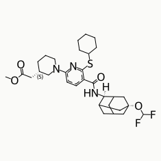 COC(=O)C[C@@H]1CCCN(c2ccc(C(=O)N[C@H]3C4CC5CC3C[C@](OC(F)F)(C5)C4)c(SC3CCCCC3)n2)C1